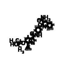 CC(C)(O)COc1ccc2c(C(=O)N[C@H]3CC[C@H](Oc4nc5ccccc5cc4C(N)=O)CC3)cnn2c1C1CC1